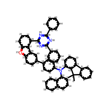 CC1(C)c2ccccc2-c2cccc(N(c3ccc(-c4ccc5oc6cccc(-c7nc(-c8ccccc8)nc(-c8ccccc8)n7)c6c5c4)cc3)c3cccc4ccccc34)c21